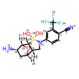 N#Cc1ccc(N2C[C@H]3[C@H]([C@@H]4O[C@H]3C[C@H]4N)S2(O)O)cc1C(F)(F)F